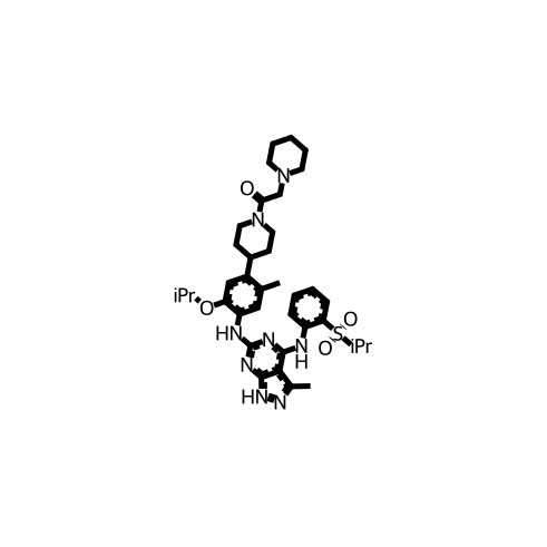 Cc1cc(Nc2nc(Nc3ccccc3S(=O)(=O)C(C)C)c3c(C)n[nH]c3n2)c(OC(C)C)cc1C1CCN(C(=O)CN2CCCCC2)CC1